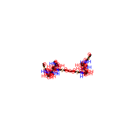 CO[C@@H]1C(C(=O)NNC(=O)CCSCCC(=O)OCCOCCOC(=O)CCSCCC(=O)NNC(=O)C2O[C@@H](O[C@@H]3C(NC(C)=O)[C@H](C)OC(CO)[C@H]3O)C(O)[C@@H](O)[C@@H]2O[C@@H]2OC(CO)[C@@H](O)[C@H](O[C@@H]3OC(C(=O)NNC(=O)CCSCCC(C)=O)[C@@H](O)[C@H](O)C3O)C2NC(C)=O)O[C@@H](O[C@@H]2C(NC(C)=O)[C@H](O[C@@H]3C(C(=O)NNC(=O)CCSCCC(C)=O)O[C@@H](C)C(O)[C@H]3O)OC(CO)[C@H]2O)C(O)[C@H]1O